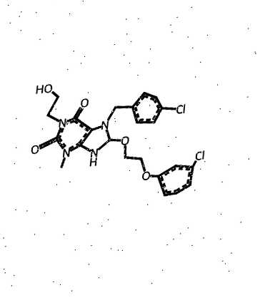 Cn1c2c(c(=O)n(CCO)c1=O)N(Cc1ccc(Cl)cc1)C(OCCOc1cccc(Cl)c1)N2